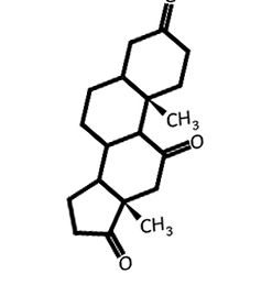 C[C@]12CCC(=O)CC1CCC1C2C(=O)C[C@]2(C)C(=O)CCC12